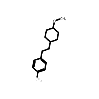 COC1CCC(CCc2ccc(C)cc2)CC1